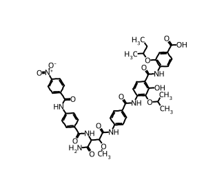 CCC(C)Oc1cc(C(=O)O)ccc1NC(=O)c1ccc(NC(=O)c2ccc(NC(=O)C(OC)C(NC(=O)c3ccc(NC(=O)c4ccc([N+](=O)[O-])cc4)cc3)C(N)=O)cc2)c(OC(C)C)c1O